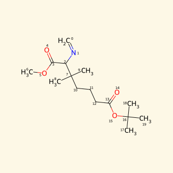 C=NC(C(=O)OC)C(C)(C)CCCC(=O)OC(C)(C)C